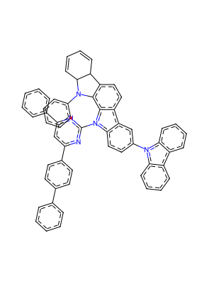 C1=CC2c3ccc4c5cc(-n6c7ccccc7c7ccccc76)ccc5n(-c5nc(-c6ccccc6)cc(-c6ccc(-c7ccccc7)cc6)n5)c4c3N(c3ccccc3)C2C=C1